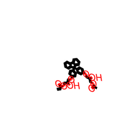 C=CC(=O)OCC(O)COc1ccc(C2(c3ccc(OCC(O)COC(C)=O)cc3)c3ccccc3-c3ccccc32)cc1